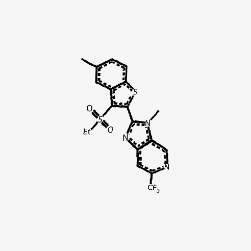 CCS(=O)(=O)c1c(-c2nc3cc(C(F)(F)F)ncc3n2C)sc2ccc(C)cc12